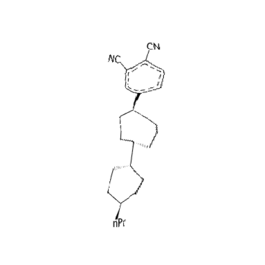 CCC[C@H]1CC[C@H]([C@H]2CC[C@H](c3ccc(C#N)c(C#N)c3)CC2)CC1